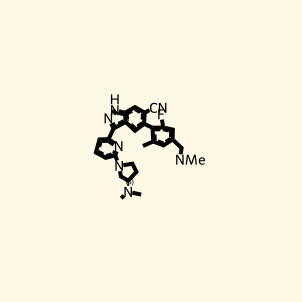 CNCc1cc(C)c(-c2cc3c(-c4cccc(N5CC[C@H](N(C)C)C5)n4)n[nH]c3cc2C#N)c(F)c1